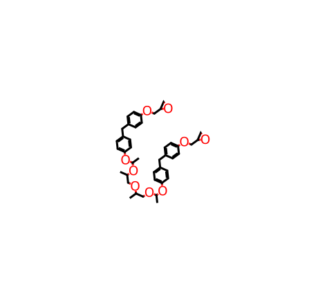 CC(COC(C)Oc1ccc(Cc2ccc(OCC3CO3)cc2)cc1)OCC(C)OC(C)Oc1ccc(Cc2ccc(OCC3CO3)cc2)cc1